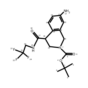 CC(C)(C)OC(=O)N1Cc2cc(N)ccc2C(C(=O)NCC(F)(F)F)C1